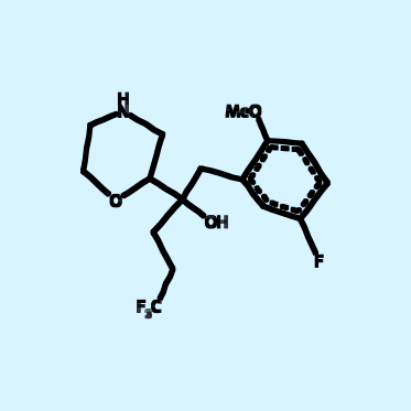 COc1ccc(F)cc1CC(O)(CCC(F)(F)F)C1CNCCO1